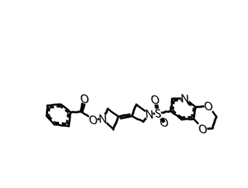 O=C(ON1CC(=C2CN(S(=O)(=O)c3cnc4c(c3)OCCO4)C2)C1)c1ccccc1